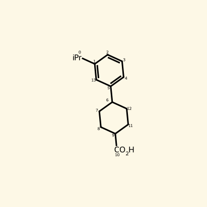 CC(C)c1cccc(C2CCC(C(=O)O)CC2)c1